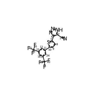 N#Cc1[nH]nnc1-c1ccc(-c2cc(C(F)(F)F)cc(C(F)(F)F)c2)s1